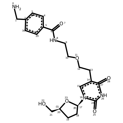 NCc1ccc(C(=O)NCCOCCc2cn([C@H]3CC[C@@H](CO)O3)c(=O)[nH]c2=O)cc1